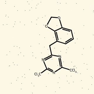 ClC(Cl)(Cl)c1nc(Cc2cccc3c2OCO3)nc(C(Cl)(Cl)Cl)n1